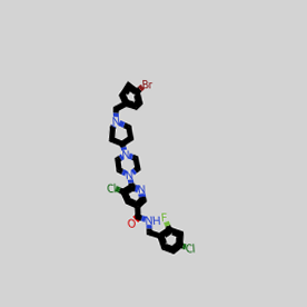 O=C(NCc1ccc(Cl)cc1F)c1cnc(N2CCN(C3CCN(Cc4ccc(Br)cc4)CC3)CC2)c(Cl)c1